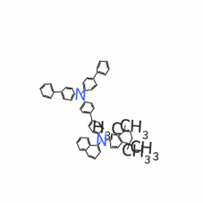 CC1(C)CCC(C)(C)c2cc(N(c3ccc(-c4ccc(N(c5ccc(-c6ccccc6)cc5)c5ccc(-c6ccccc6)cc5)cc4)cc3)c3cccc4ccccc34)ccc21